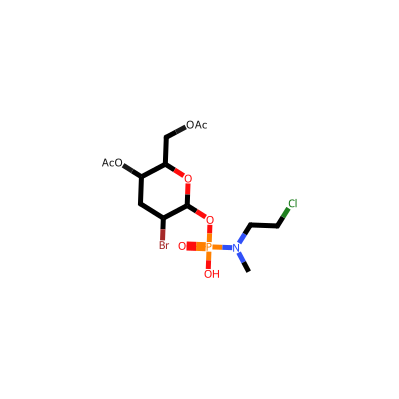 CC(=O)OCC1OC(OP(=O)(O)N(C)CCCl)C(Br)CC1OC(C)=O